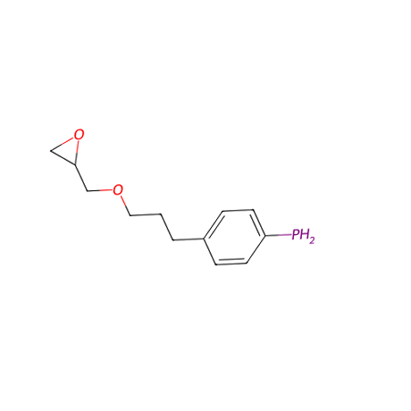 Pc1ccc(CCCOCC2CO2)cc1